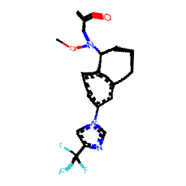 CON(C(C)=O)C1CCCc2cc(-n3cnc(C(F)(F)F)c3)ccc21